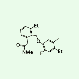 CCc1cc(F)c(OCc2c(CC)cccc2CC(=O)NC)cc1C